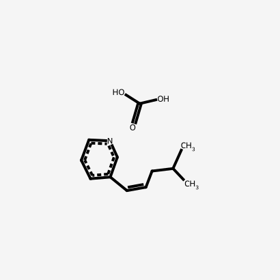 CC(C)C/C=C\c1cccnc1.O=C(O)O